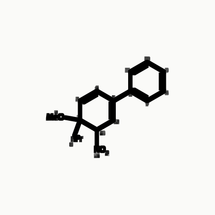 CCCC1(OC)C=CC(c2ccccc2)=CC1[N+](=O)[O-]